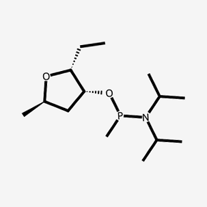 CC[C@H]1O[C@H](C)C[C@H]1OP(C)N(C(C)C)C(C)C